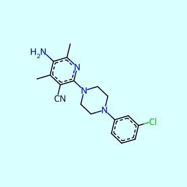 Cc1nc(N2CCN(c3cccc(Cl)c3)CC2)c(C#N)c(C)c1N